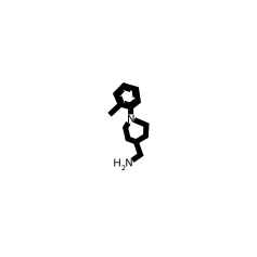 Cc1ccccc1N1CCC(CN)CC1